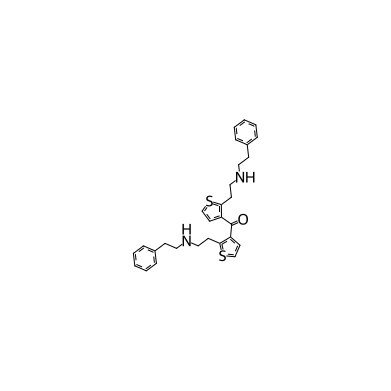 O=C(c1ccsc1CCNCCc1ccccc1)c1ccsc1CCNCCc1ccccc1